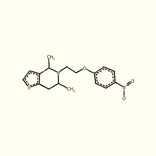 CC1Cc2sccc2C(C)N1CCOc1ccc([N+](=O)[O-])cc1